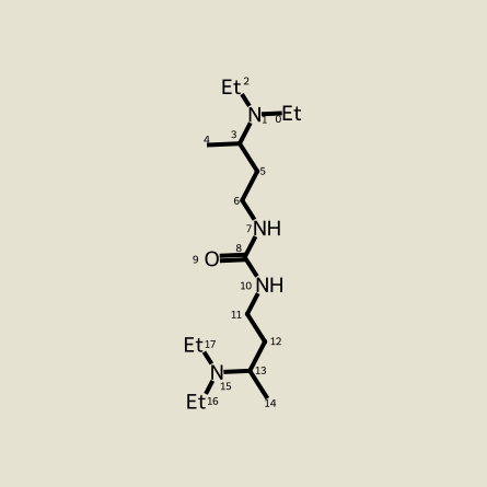 CCN(CC)C(C)CCNC(=O)NCCC(C)N(CC)CC